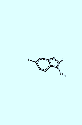 Cn1c(I)nc2cc(F)ccc21